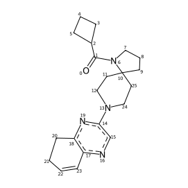 O=C(C1CCC1)N1CCCC12CCN(c1cnc3c(n1)CCC=C3)CC2